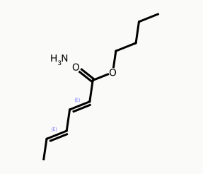 C/C=C/C=C/C(=O)OCCCC.N